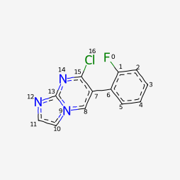 Fc1ccccc1-c1cn2ccnc2nc1Cl